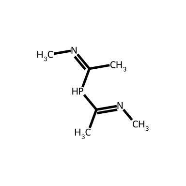 CN=C(C)PC(C)=NC